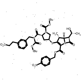 C[C@@H](O)[C@H]1C(=O)N2C(C(=O)OCc3ccc([N+](=O)[O-])cc3)=C(S[C@H]3C[C@@H](C(=O)N(Cc4cccc(CCC(=O)O)c4)C(=O)OC(C)(C)C)N(C(=O)OC(C)(C)C)C3)[C@H](C)[C@H]12